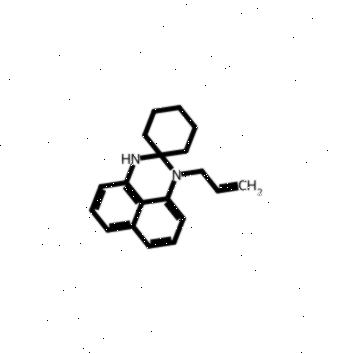 C=CCN1c2cccc3cccc(c23)NC12CCCCC2